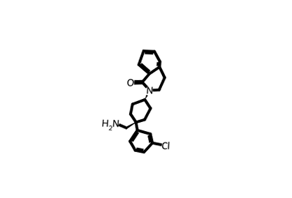 NC[C@]1(c2cccc(Cl)c2)CC[C@@H](N2CCc3ccccc3C2=O)CC1